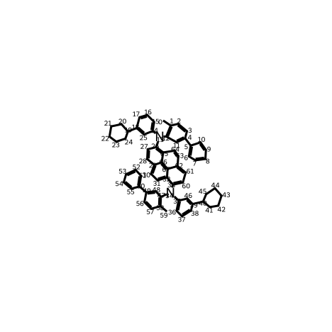 Cc1ccc(-c2ccccc2)cc1N(c1cccc(C2CCCCC2)c1)c1ccc2ccc3c(N(c4cccc(C5CCCCC5)c4)c4cc(-c5ccccc5)ccc4C)ccc4ccc1c2c43